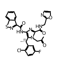 CC(=O)Cn1c(C(=O)NCc2ncco2)nc(NC(=O)c2nsc3ccccc23)c1[C@@H](C)c1cc(F)ccc1Cl